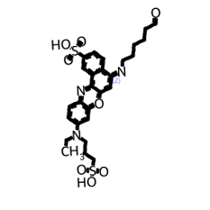 CCN(CCCS(=O)(=O)O)c1ccc2nc3c4cc(S(=O)(=O)O)ccc4/c(=N\CCCCCC=O)cc-3oc2c1